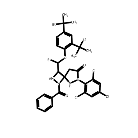 CCC(Oc1ccc(C(C)(C)CC)cc1C(C)(C)CC)C1NN(C(=O)c2ccccc2)C12CC(=O)N(c1c(Cl)cc(Cl)cc1Cl)N2